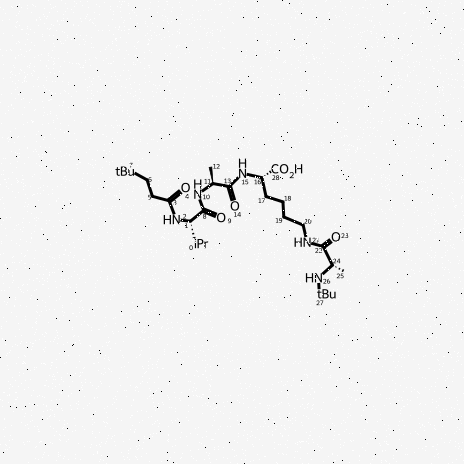 CC(C)[C@H](NC(=O)CCC(C)(C)C)C(=O)N[C@@H](C)C(=O)N[C@@H](CCCCNC(=O)[C@H](C)NC(C)(C)C)C(=O)O